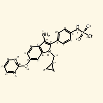 CCS(=O)(=O)Nc1ccc(-c2c(N)c3ccc(Oc4ncccn4)cc3n2CC2CC2)cc1